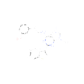 CC(C)N1CNc2c(NCCc3cccc(O)c3)nc(C3=CSC4=CC=CCC43)nc21